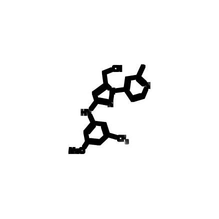 COc1cc(Nc2cc(CC#N)n(-c3ccnc(C)c3)n2)cc(C(F)(F)F)c1